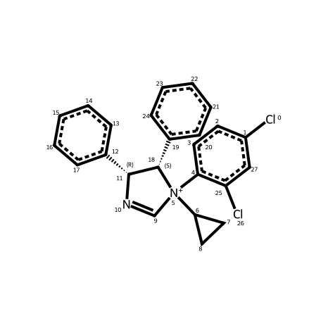 Clc1ccc([N+]2(C3CC3)C=N[C@H](c3ccccc3)[C@@H]2c2ccccc2)c(Cl)c1